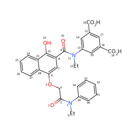 CCN(C(=O)COc1cc(C(=O)N(CC)c2cc(C(=O)O)cc(C(=O)O)c2)c(O)c2ccccc12)c1ccccc1